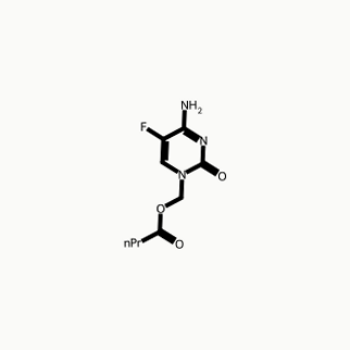 CCCC(=O)OCn1cc(F)c(N)nc1=O